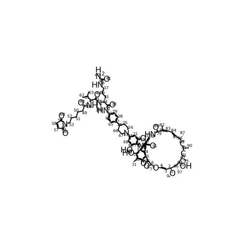 CO[C@H]1/C=C/O[C@@]2(C)Oc3c(C)c(O)c4c(=O)c(c5oc6cc(N7CCC(c8ccc(NC(=O)[C@H](CCCNC(N)=O)NC(=O)[C@@H](NC(=O)CCCCCN9C(=O)C=CC9=O)C(C)C)cc8)CC7)cc(O)c6nc-5c4c3C2=O)NC(=O)/C(C)=C\C=C\[C@H](C)C[C@@H](C)C[C@@H](C)[C@H](O)[C@@H]1C